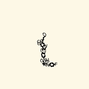 COc1cc2c(Oc3ccc(NC(=O)C4(C(=O)Nc5ccc(F)cc5)CC4)cc3F)ccnc2cc1OCCC=O